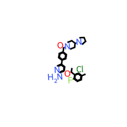 Cc1ccc(F)c(C(C)Oc2cc(-c3ccc(C(=O)N4CCC(N5CCCC5)CC4)cc3)cnc2N)c1Cl